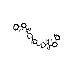 O=C(NC1CCN(Cc2ccc(N3CCC(NC(=O)c4cccc(-c5cccnc5)c4Cl)CC3)nc2)CC1)c1cccc(-c2cccnc2)c1F